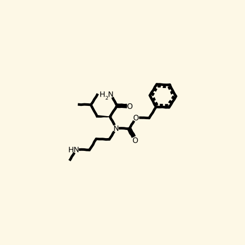 CNCCCN(C(=O)OCc1ccccc1)[C@@H](CC(C)C)C(N)=O